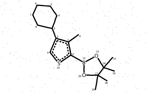 Cc1c(C2CCCCC2)csc1B1OC(C)(C)C(C)(C)O1